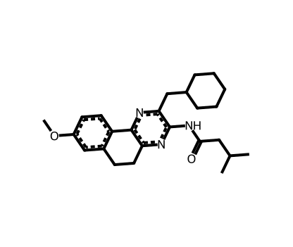 COc1ccc2c(c1)CCc1nc(NC(=O)CC(C)C)c(CC3CCCCC3)nc1-2